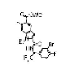 CCn1c(C(=O)NC(c2ccc(F)c(Br)c2)C(F)(F)F)cc2cc(C(=O)OC)c(C)cc21